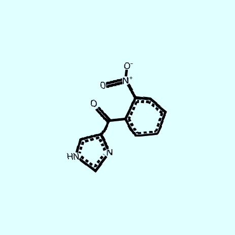 O=C(c1c[nH]cn1)c1ccccc1[N+](=O)[O-]